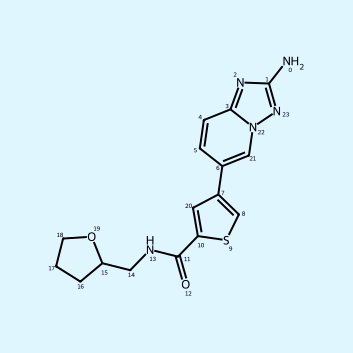 Nc1nc2ccc(-c3csc(C(=O)NCC4CCCO4)c3)cn2n1